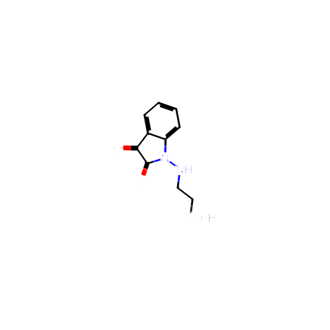 O=C1C(=O)N(NCCS(=O)(=O)O)c2ccccc21